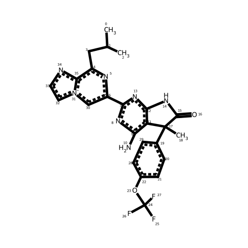 CC(C)Cc1nc(-c2nc(N)c3c(n2)NC(=O)C3(C)c2ccc(OC(F)(F)F)cc2)cn2ccnc12